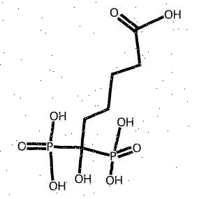 O=C(O)CCCCC(O)(P(=O)(O)O)P(=O)(O)O